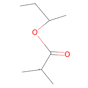 CCC(C)OC(=O)[C](C)C